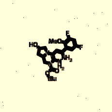 COc1c(F)cc(F)cc1/C(N)=C/C1=C(N)N(C(=O)OC(C)(C)C)CC2CC(O)CN12